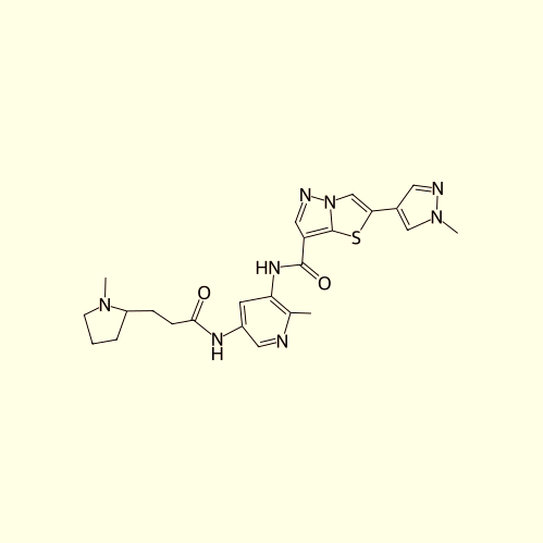 Cc1ncc(NC(=O)CCC2CCCN2C)cc1NC(=O)c1cnn2cc(-c3cnn(C)c3)sc12